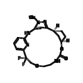 CC(C)(C)n1nc2cc1Nc1cccc(n1)C(F)(F)COCCNC(=O)O[C@@H]1CC[C@H]2C1